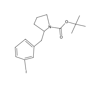 CC(C)(C)OC(=O)N1CCCC1Cc1cccc(I)c1